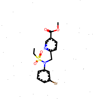 CCS(=O)(=O)N(Cc1ccc(C(=O)OC)cn1)c1cccc(Br)c1